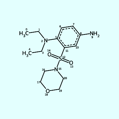 CCN(CC)c1ccc(N)cc1S(=O)(=O)N1CCOCC1